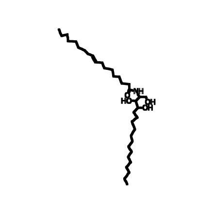 CCCCCCCC/C=C/CCCCCCCC(=O)NC(CO)C(O)C(O)CCCCCCCCCCCCCC